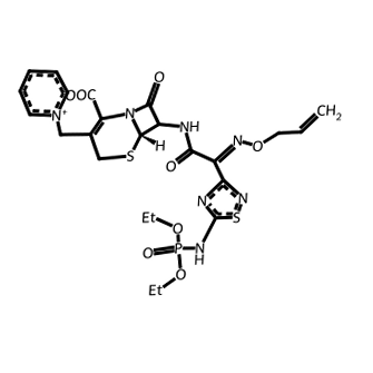 C=CCON=C(C(=O)NC1C(=O)N2C(C(=O)[O-])=C(C[n+]3ccccc3)CS[C@@H]12)c1nsc(NP(=O)(OCC)OCC)n1